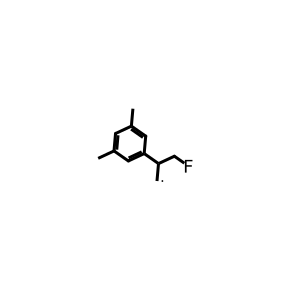 [CH2]C(CF)c1cc(C)cc(C)c1